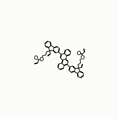 C=CC(=O)OCCCC1(C=C)c2ccccc2-c2ccc(-c3cc4c5ccccc5c(-c5ccc6c(c5)C(C=C)(CCCOC(=O)C=C)c5ccccc5-6)cc4c4ccccc34)cc21